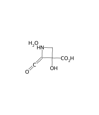 O.O=C=C1NCC1(O)C(=O)O